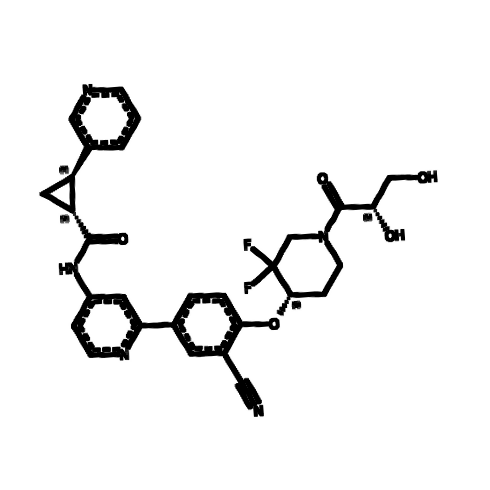 N#Cc1cc(-c2cc(NC(=O)[C@@H]3C[C@H]3c3cccnc3)ccn2)ccc1O[C@H]1CCN(C(=O)[C@@H](O)CO)CC1(F)F